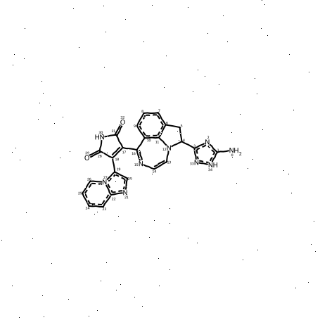 Nc1nc(C2Cc3cccc4c3N2C=CN=C4C2=C(c3cnc4ccccn34)C(=O)NC2=O)n[nH]1